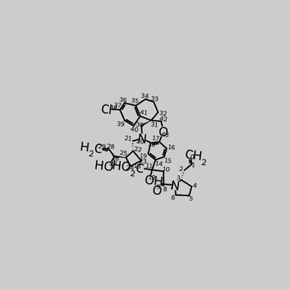 C=CC[C@@H]1CCCN1C(=O)CC(O)(C(=O)O)c1ccc2c(c1)N(C[C@@H]1CC[C@H]1C(O)C=C)C[C@@]1(CCCc3cc(Cl)ccc31)CO2